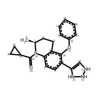 C[C@H]1CCc2c(ccc(C3=CNNN3)c2Oc2ccccc2)N1C(=O)C1CC1